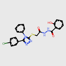 O=C(CSc1nnc(-c2ccc(Cl)cc2)n1-c1ccccc1)NNC(=O)c1ccccc1O